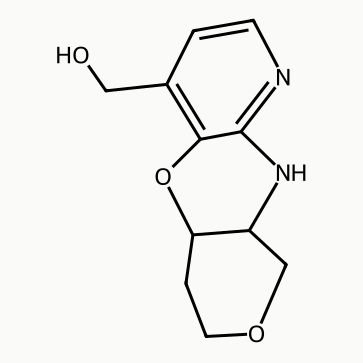 OCc1ccnc2c1OC1CCOCC1N2